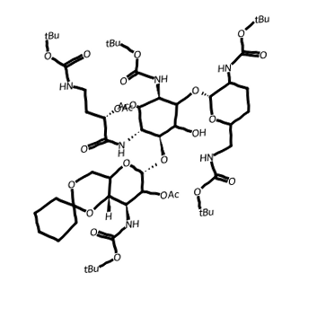 CC(=O)OC1[C@@H](O[C@@H]2C(O)C(O[C@H]3OC(CNC(=O)OC(C)(C)C)CCC3NC(=O)OC(C)(C)C)[C@H](NC(=O)OC(C)(C)C)C(OC(C)=O)[C@H]2NC(=O)[C@H](CCNC(=O)OC(C)(C)C)OC(C)=O)OC2COC3(CCCCC3)O[C@H]2[C@@H]1NC(=O)OC(C)(C)C